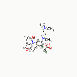 CN(C)CCCN(C)c1ccc(C(=O)O)c(N(C(=O)C(F)(F)F)C2CCOCC2)c1.O=C(O)C(F)(F)F